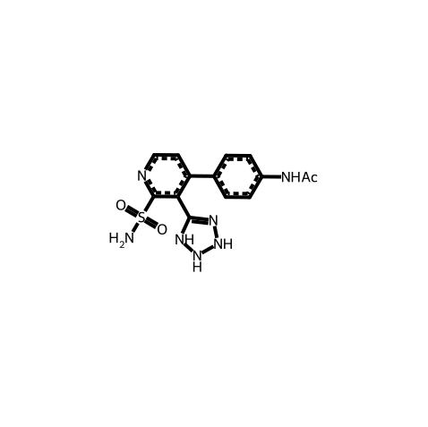 CC(=O)Nc1ccc(-c2ccnc(S(N)(=O)=O)c2C2=NNNN2)cc1